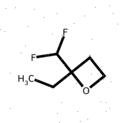 CCC1(C(F)F)[CH]CO1